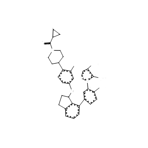 CCc1cc(NC2CCc3cccc(-c4ccc(C)c(-n5ncc(C(=O)O)c5OC)c4)c32)ccc1C1CCN(C(=O)C2CC2)CC1